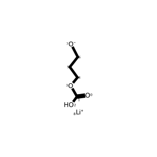 O=C(O)OCCC[O-].[Li+]